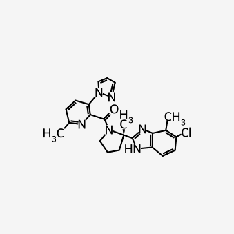 Cc1ccc(-n2cccn2)c(C(=O)N2CCC[C@@]2(C)c2nc3c(C)c(Cl)ccc3[nH]2)n1